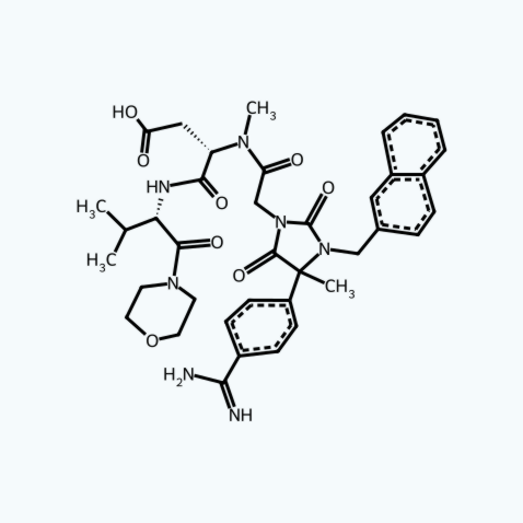 CC(C)[C@H](NC(=O)[C@H](CC(=O)O)N(C)C(=O)CN1C(=O)N(Cc2ccc3ccccc3c2)C(C)(c2ccc(C(=N)N)cc2)C1=O)C(=O)N1CCOCC1